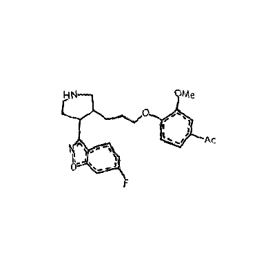 COc1cc(C(C)=O)ccc1OCCCC1CNCCC1c1noc2cc(F)ccc12